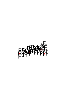 O=C(C(F)(OC(F)(F)C(F)(F)C(F)(F)C(F)(F)OC(F)(C(F)(F)F)C(F)(F)OC(F)(C(=O)C(F)(C(F)(F)F)C(F)(F)F)C(F)(F)F)C(F)(F)F)C(F)(C(F)(F)F)C(F)(F)F